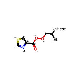 CCCCCCCC(CC)COOC(=O)c1cscn1